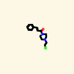 O=C(/C=C/c1ccccc1)N1CCN(CCCl)CC1